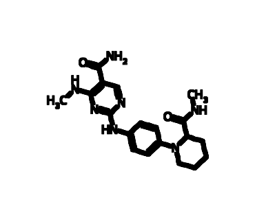 CNC(=O)C1CCCCN1c1ccc(Nc2ncc(C(N)=O)c(NC)n2)cc1